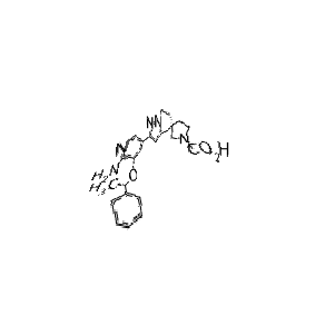 C[C@@H](Oc1cc(-c2cc3n(n2)CC[C@@]32CCN(C(=O)O)C2)cnc1N)c1ccccc1